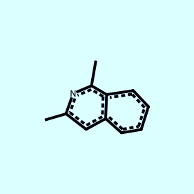 Cc1cc2ccccc2c(C)n1